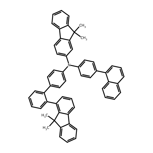 CC1(C)c2ccccc2-c2ccc(N(c3ccc(-c4ccccc4-c4cccc5c4C(C)(C)c4ccccc4-5)cc3)c3ccc(-c4cccc5ccccc45)cc3)cc21